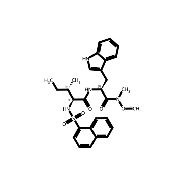 CC[C@H](C)[C@H](NS(=O)(=O)c1cccc2ccccc12)C(=O)N[C@@H](Cc1c[nH]c2ccccc12)C(=O)N(C)OC